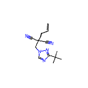 C=CCC(C#N)(C#N)Cn1cnc(C(C)(C)C)n1